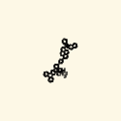 CC1(C)c2cc(-c3ccc(-c4ccc5ccc6c(N(c7ccccc7)c7ccc8ccccc8c7)ccc7ccc4c5c76)cc3)ccc2-c2cc3c4ccccc4c4ccccc4c3cc21